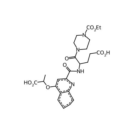 CCOC(=O)N1CCN(C(=O)C(CCC(=O)O)NC(=O)c2cc(OC(C)C(=O)O)c3ccccc3n2)CC1